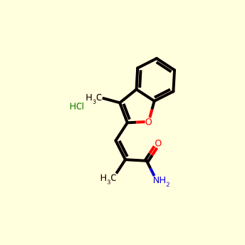 CC(=Cc1oc2ccccc2c1C)C(N)=O.Cl